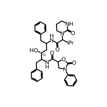 CC(C)C(C(=O)NC(Cc1ccccc1)C[C@H](O)C(Cc1ccccc1)NC(=O)C1CN(c2ccccc2)C(=O)O1)N1CCCNC1=O